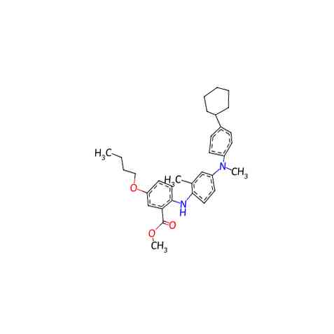 CCCCOc1ccc(Nc2ccc(N(C)c3ccc(C4CCCCC4)cc3)cc2C)c(C(=O)OC)c1